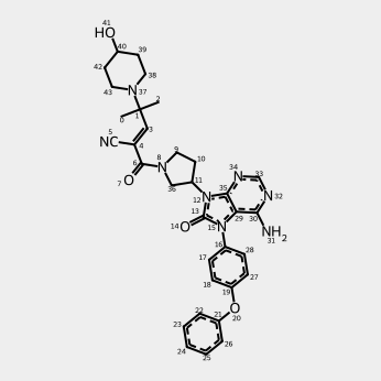 CC(C)(C=C(C#N)C(=O)N1CCC(n2c(=O)n(-c3ccc(Oc4ccccc4)cc3)c3c(N)ncnc32)C1)N1CCC(O)CC1